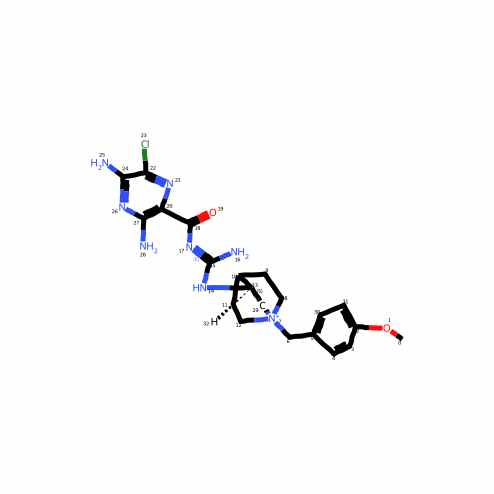 COc1ccc(C[N+]23CCC(CC2)[C@H](N/C(N)=N/C(=O)c2nc(Cl)c(N)nc2N)C3)cc1